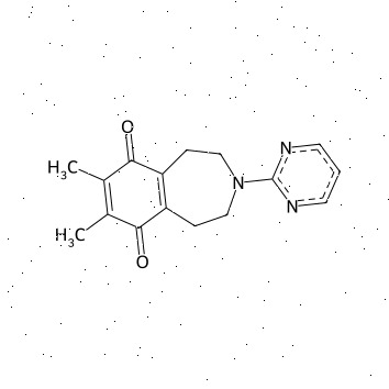 CC1=C(C)C(=O)C2=C(CCN(c3ncccn3)CC2)C1=O